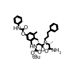 Cc1cc(OC(=O)Nc2ccccc2)cc(C)c1C[C@@H](NC(=O)OC(C)(C)C)C(=O)N(CCCc1ccccc1)[C@H](C)C(N)=O